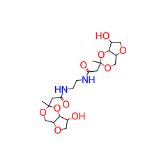 CC1(CC(=O)NCCNC(=O)CC2(C)OCC3OCC(O)C3O2)OCC2OCC(O)C2O1